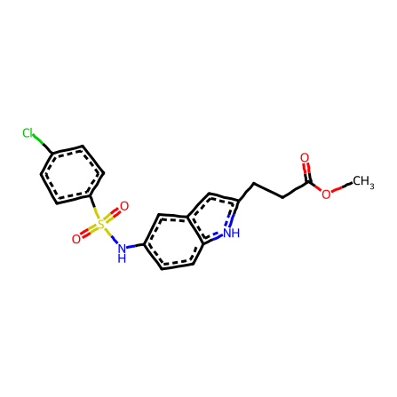 COC(=O)CCc1cc2cc(NS(=O)(=O)c3ccc(Cl)cc3)ccc2[nH]1